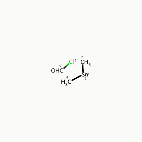 O=CCl.[CH3][Sn][CH3]